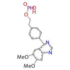 COc1cc2ncnc(-c3ccc(CCO[PH](=O)O)cc3)c2cc1OC